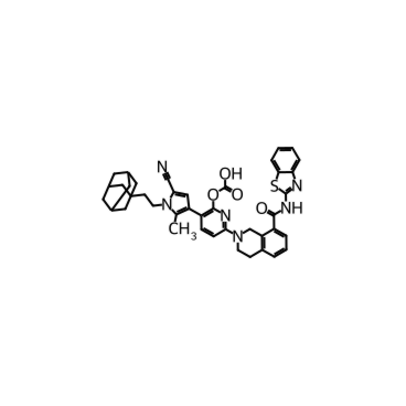 Cc1c(-c2ccc(N3CCc4cccc(C(=O)Nc5nc6ccccc6s5)c4C3)nc2OC(=O)O)cc(C#N)n1CCC12CC3CC(CC(C3)C1)C2